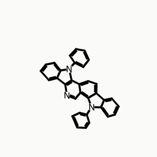 c1ccc(-n2c3ccccc3c3ccc4c(cnc5c6ccccc6n(-c6ccccc6)c45)c32)cc1